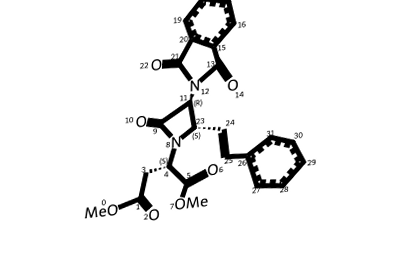 COC(=O)C[C@@H](C(=O)OC)N1C(=O)[C@H](N2C(=O)c3ccccc3C2=O)[C@@H]1C=Cc1ccccc1